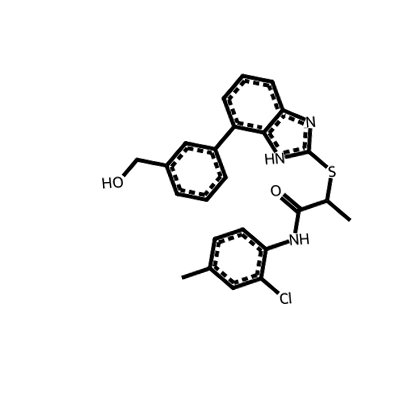 Cc1ccc(NC(=O)C(C)Sc2nc3cccc(-c4cccc(CO)c4)c3[nH]2)c(Cl)c1